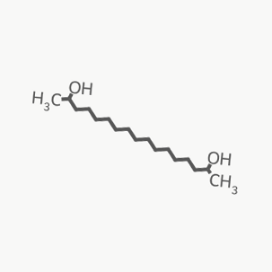 CC(O)CCCCCCCCCCCCCC(C)O